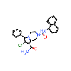 NC(=O)c1c(Cl)c(-c2ccccc2)n2c1CN(C(=O)Nc1cccc3ccccc13)CC2